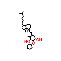 C=C1/C(=C\C=C2/CCC[C@]3(C)[C@@H]([C@H](C)CCCC(C)C)CC[C@@H]23)C[C@@H](O)[C@@H](OC2CCCCC2)[C@@H]1O